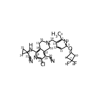 Cc1nc(OC2CC(F)(F)C2)ccc1CN1CCc2c(NC3(C#N)CC3)nc(Cl)c(C#N)c2C1